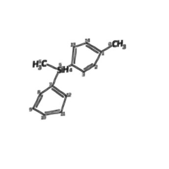 Cc1ccc([SiH](C)c2[c]cccc2)cc1